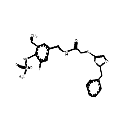 C=Cc1cc(CNC(=O)COC2=COC(Cc3ccccc3)O2)cc(F)c1NS(C)(=O)=O